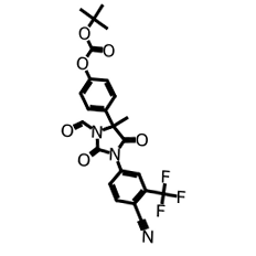 CC(C)(C)OC(=O)Oc1ccc(C2(C)C(=O)N(c3ccc(C#N)c(C(F)(F)F)c3)C(=O)N2C=O)cc1